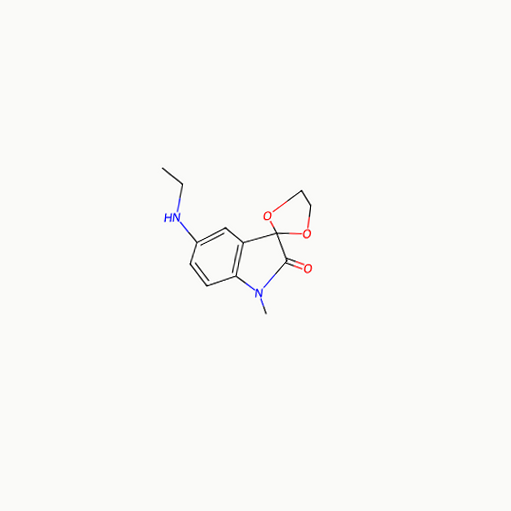 CCNc1ccc2c(c1)C1(OCCO1)C(=O)N2C